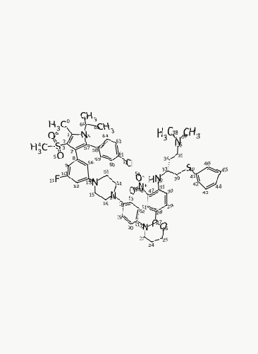 Cc1c(S(C)(=O)=O)c(-c2cc(F)cc(N3CCN(c4ccc(N5CCCOP5c5ccc(N[C@H](CCN(C)C)CSc6ccccc6)c([N+](=O)[O-])c5)cc4)CC3)c2)c(-c2ccc(Cl)cc2)n1C(C)C